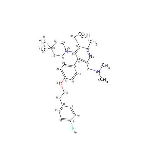 Cc1nc(CN(C)C)c(-c2ccc(OCCc3ccc(F)cc3)cc2)c(N2CCC(C)(C)CC2)c1CC(=O)O